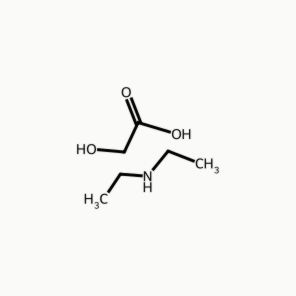 CCNCC.O=C(O)CO